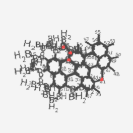 BBB(B)B(B(B)B)c1c(B(B(B)B)B(B)B)c(B(BB)B(B)B)c(B(B)B(B)B)c2c(-c3c4c(C)c(C)c(C)c(C)c4c(-c4c(C)c(C)c(C)c5c(C)c(C)c(C)c(C)c45)c4c(C)c(C)c(C)c(C)c34)c(B(B)B)c(BB)c(B)c12